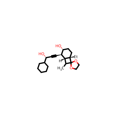 CC[C@]12CC[C@@H](O)[C@H](C#C[C@@H](O)C3CCCCC3)[C@H]1C(C)C21OCCO1